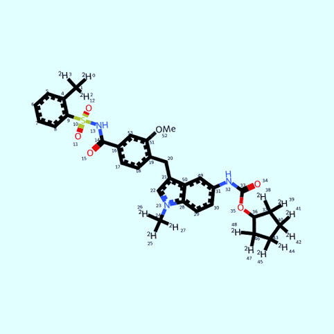 [2H]C([2H])([2H])c1ccccc1S(=O)(=O)NC(=O)c1ccc(Cc2cn(C([2H])([2H])[2H])c3ccc(NC(=O)OC4C([2H])([2H])C([2H])([2H])C([2H])([2H])C4([2H])[2H])cc23)c(OC)c1